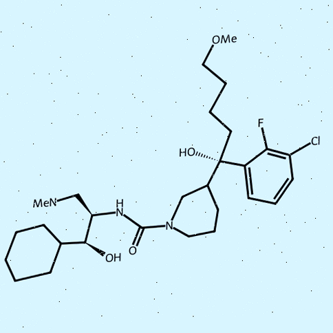 CNC[C@@H](NC(=O)N1CCCC([C@@](O)(CCCCOC)c2cccc(Cl)c2F)C1)[C@@H](O)C1CCCCC1